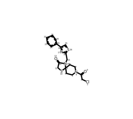 O=C(CCl)N1CCC2(CC1)SCC(=O)N2Cc1nc(-c2ccccc2)cs1